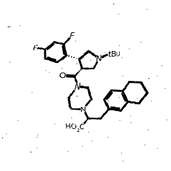 CC(C)(C)N1C[C@@H](C(=O)N2CCN([C@@H](Cc3ccc4c(c3)CCCC4)C(=O)O)CC2)[C@H](c2ccc(F)cc2F)C1